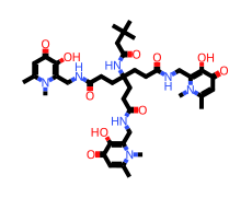 Cc1cc(=O)c(O)c(CNC(=O)CCC(CCC(=O)NCc2c(O)c(=O)cc(C)n2C)(CCC(=O)NCc2c(O)c(=O)cc(C)n2C)NC(=O)CC(C)(C)C)n1C